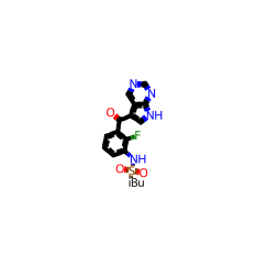 CCC(C)S(=O)(=O)Nc1cccc(C(=O)c2c[nH]c3ncncc23)c1F